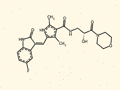 Cc1[nH]c(/C=C2\C(=O)Nc3ccc(F)cc32)c(C)c1C(=O)NC[C@@H](O)C(=O)N1CCOCC1